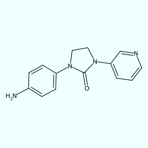 Nc1ccc(N2CCN(c3cccnc3)C2=O)cc1